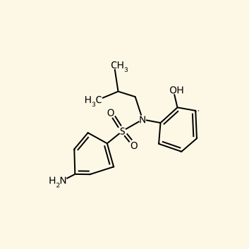 CC(C)CN(c1ccc[c]c1O)S(=O)(=O)c1ccc(N)cc1